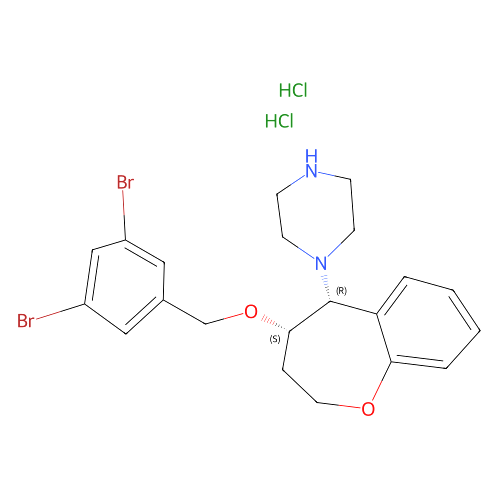 Brc1cc(Br)cc(CO[C@H]2CCOc3ccccc3[C@H]2N2CCNCC2)c1.Cl.Cl